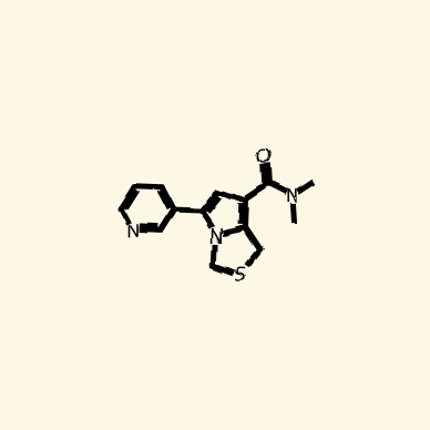 CN(C)C(=O)c1cc(-c2cccnc2)n2c1CSC2